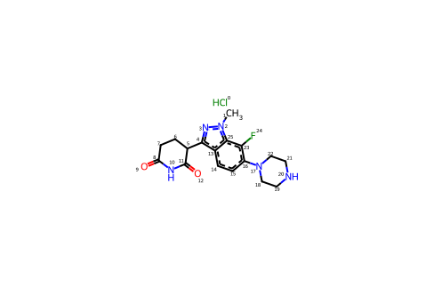 Cl.Cn1nc(C2CCC(=O)NC2=O)c2ccc(N3CCNCC3)c(F)c21